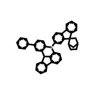 CC12c3ccccc3-c3cccc(c31)N(c1ccc3c(c1)C1(CC4CCC1C4)c1ccccc1-3)c1ccc(-c3ccccc3)cc12